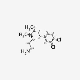 CC(CCc1ccc(Cl)c(Cl)c1)N(C)CCCN